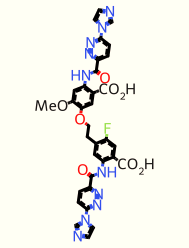 COc1cc(NC(=O)c2ccc(-n3ccnc3)nn2)c(C(=O)O)cc1OCCc1cc(NC(=O)c2ccc(-n3ccnc3)nn2)c(C(=O)O)cc1F